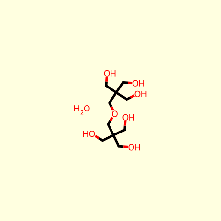 O.OCC(CO)(CO)COCC(CO)(CO)CO